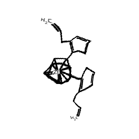 C=CCC1=C([C]23[CH]4[CH]5[CH]6[C]2(C2=C(CC=C)C=CC2)[Zr]54632789[CH]3[CH]2[CH]7[CH]8[CH]39)CC=C1